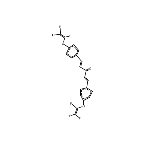 O=C(C=Cc1ccc(OC(F)=C(F)F)cc1)C=Cc1ccc(OC(F)=C(F)F)cc1